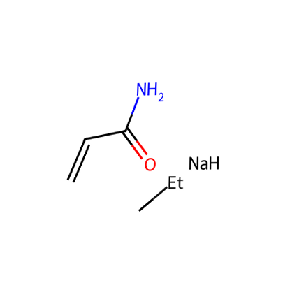 C=CC(N)=O.CCC.[NaH]